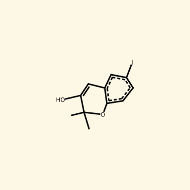 CC1(C)Oc2ccc(I)cc2C=C1O